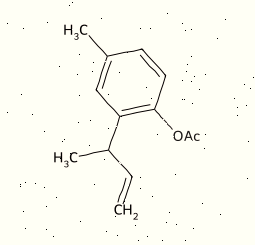 C=CC(C)c1cc(C)ccc1OC(C)=O